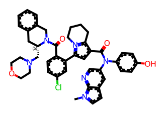 Cn1ccc2cc(N(C(=O)c3cc(-c4cc(Cl)ccc4C(=O)N4Cc5ccccc5C[C@H]4CN4CCOCC4)n4c3CCCC4)c3ccc(O)cc3)cnc21